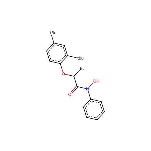 CCC(Oc1ccc(C(C)(C)C)cc1C(C)(C)C)C(=O)N(O)c1ccccc1